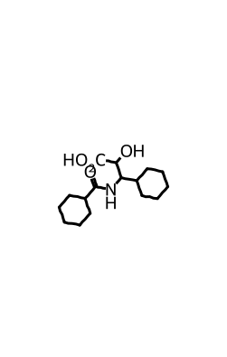 O=C(NC(C1CCCCC1)C(O)C(=O)O)C1CCCCC1